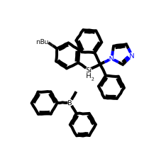 CB(c1ccccc1)c1ccccc1.CCCCc1ccc([SiH2]C(c2ccccc2)(c2ccccc2)n2ccnc2)cc1